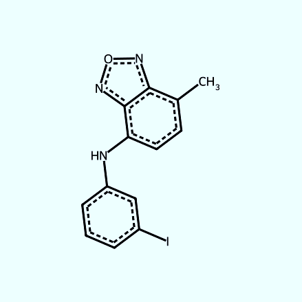 Cc1ccc(Nc2cccc(I)c2)c2nonc12